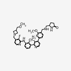 COCC1CN(Cc2ccnc(Nc3cccc(-c4nccc(-c5ccc(CNCC6CCC(=O)N6)c(OC)n5)c4C)c3Cl)c2F)C1